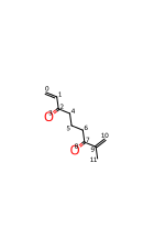 C=CC(=O)CCCC(=O)C(=C)C